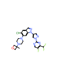 CC1(N2CCN(c3cc4c(cnn4-c4cnn(-c5ncc(F)c(C(F)F)n5)c4)cc3Cl)CC2)COC1